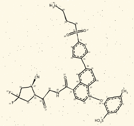 Cc1ccc(S(=O)(=O)O)cc1.N#C[C@@H]1CC(F)(F)CN1C(=O)CNC(=O)c1cc[n+]([O-])c2ccc(-c3ccc(S(=O)(=O)CCCN)cc3)cc12